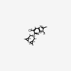 Cc1nc2cc(Cl)c(N(CC3CC3)CC3CC3)nc2n1C